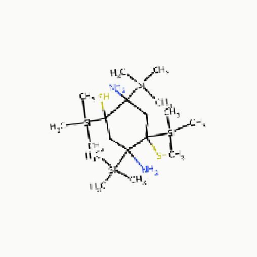 C[Si](C)(C)C1(N)CC(S)([Si](C)(C)C)C(N)([Si](C)(C)C)CC1(S)[Si](C)(C)C